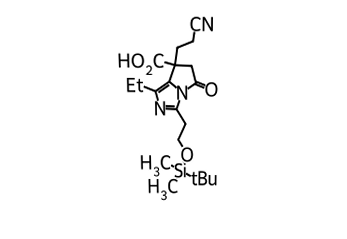 CCc1nc(CCO[Si](C)(C)C(C)(C)C)n2c1C(CCC#N)(C(=O)O)CC2=O